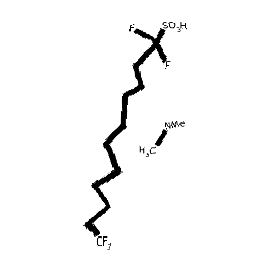 CNC.O=S(=O)(O)C(F)(F)CCCCCCCCCC(F)(F)F